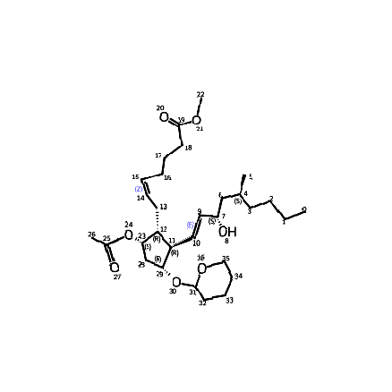 CCCC[C@H](C)C[C@H](O)/C=C/[C@@H]1[C@@H](C/C=C\CCCC(=O)OC)[C@@H](OC(C)=O)C[C@H]1OC1CCCCO1